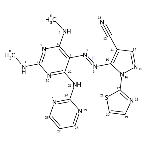 CNc1nc(NC)c(/N=N/c2c(C#N)cnn2-c2nccs2)c(Nc2ncccn2)n1